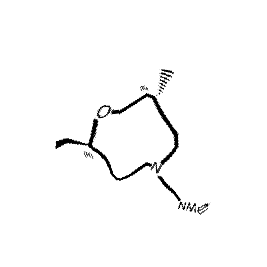 CNN1C[C@@H](C)O[C@H](C)C1